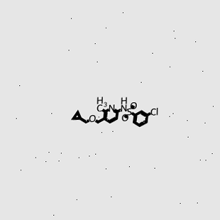 Cc1nc(NS(=O)(=O)c2cccc(Cl)c2)ccc1COCC1CC1